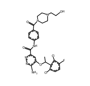 CC(Oc1cc(C(=O)Nc2ccc(C(=O)N3CCN(CCO)CC3)cc2)nnc1N)c1c(Cl)ccc(F)c1Cl